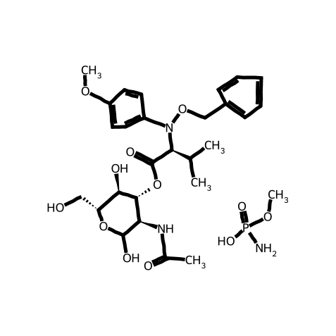 COP(N)(=O)O.COc1ccc(N(OCc2ccccc2)[C@H](C(=O)O[C@H]2[C@H](O)[C@@H](CO)OC(O)[C@@H]2NC(C)=O)C(C)C)cc1